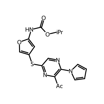 CC(=O)c1nc(Sc2coc(NC(=O)OC(C)C)c2)cnc1-n1cccc1